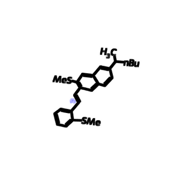 CCCCC(C)c1ccc2cc(/C=C/c3ccccc3SC)c(SC)cc2c1